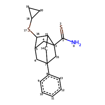 NC(=S)C12CC3CC(c4ccccc4)(CC1C3SC1CC1)C2